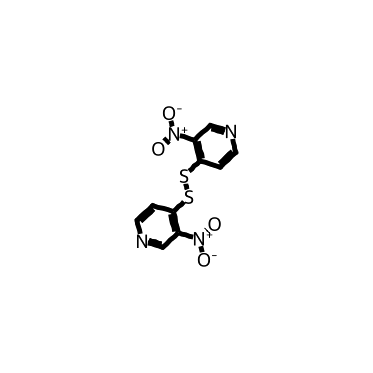 O=[N+]([O-])c1cnccc1SSc1ccncc1[N+](=O)[O-]